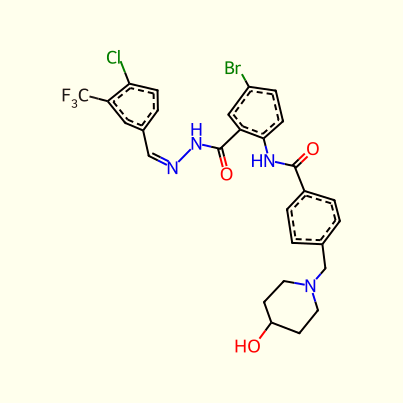 O=C(Nc1ccc(Br)cc1C(=O)N/N=C\c1ccc(Cl)c(C(F)(F)F)c1)c1ccc(CN2CCC(O)CC2)cc1